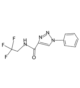 O=C(NCC(F)(F)F)c1cn(-c2ccccc2)nn1